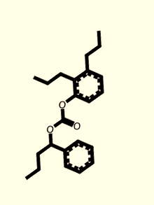 CCCc1cccc(OC(=O)OC(CCC)c2ccccc2)c1CCC